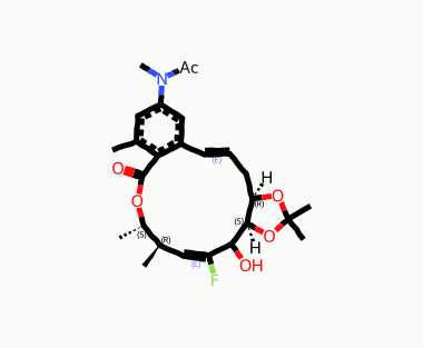 CC(=O)N(C)c1cc(C)c2c(c1)/C=C/C[C@H]1OC(C)(C)O[C@H]1C(O)/C(F)=C\[C@@H](C)[C@H](C)OC2=O